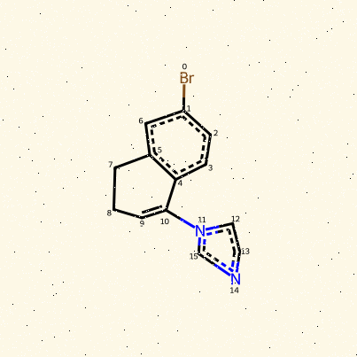 Brc1ccc2c(c1)CCC=C2n1ccnc1